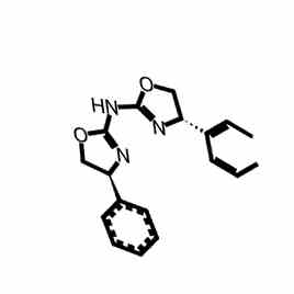 C/C=C\C(=C/C)[C@H]1COC(NC2=N[C@@H](c3ccccc3)CO2)=N1